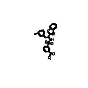 COC(=O)c1cccc(S(=O)(=O)NC(Cc2cccc(C)c2)c2nc3ccccc3s2)c1